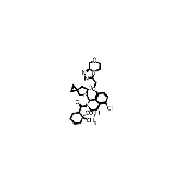 C[C@]1(C(=O)O)CCCCC1C(=O)N1CCc2c(Cl)ccc(OCc3nnc4n3CCOC4)c2C1N1CC2(CC2)CC1=O